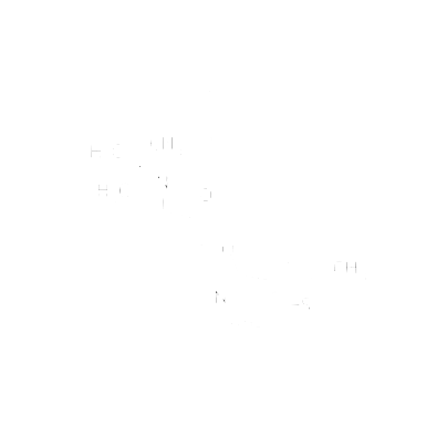 Cc1cc2c(OCC3CN(C(C)(C)C)[C@H](c4ccccc4)O3)nccc2s1